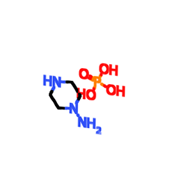 NN1CCNCC1.O=P(O)(O)O